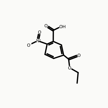 CCOC(=O)c1ccc([N+](=O)[O-])c(C(=O)O)c1